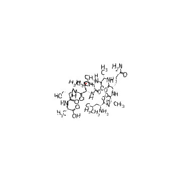 CC(C)C[C@H](N)C(=O)N[C@@H](C)C(=O)N[C@@H](CCC(N)=O)C(=O)N[C@@H](C)C(=O)N[C@H](C(=O)N[C@H](C(=O)N[C@@H](CO)C(=O)N[C@@H](C)C(=O)O)C(C)C)C(C)C